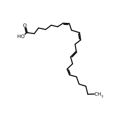 CCCCC/C=C\C/C=C/C/C=C\C/C=C\CCCCCC(=O)O